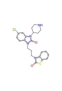 O=c1sc2ccccc2n1CCCn1c(=O)n(C2CCNCC2)c2cc(Cl)ccc21